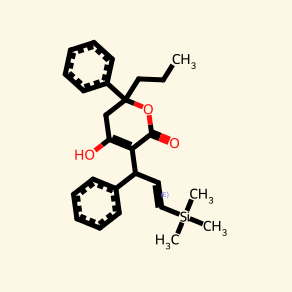 CCCC1(c2ccccc2)CC(O)=C(C(/C=C/[Si](C)(C)C)c2ccccc2)C(=O)O1